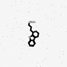 CCCCCCCCCCCCC1CCCC2=C1[N]c1ccccc12